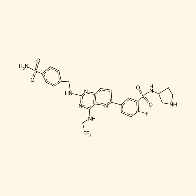 NS(=O)(=O)c1ccc(CNc2nc(NCC(F)(F)F)c3nc(-c4ccc(F)c(S(=O)(=O)NC5CCNC5)c4)ccc3n2)cc1